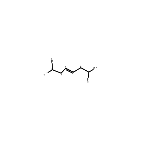 FC(F)CC=CCC(F)F